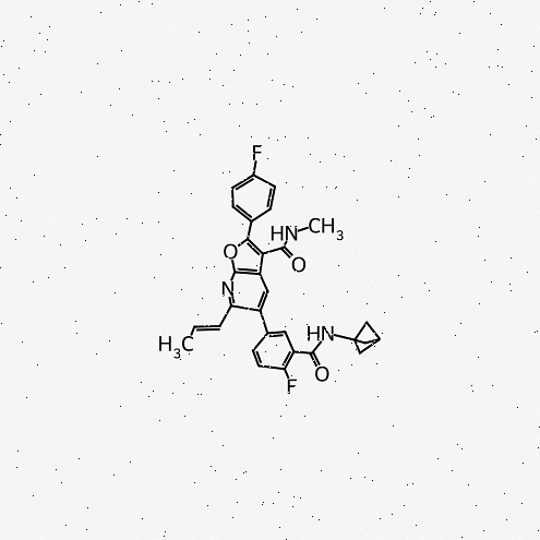 CC=Cc1nc2oc(-c3ccc(F)cc3)c(C(=O)NC)c2cc1-c1ccc(F)c(C(=O)NC23CC(C2)C3)c1